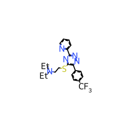 CCN(CC)CCSc1nc(-c2ccccn2)nnc1-c1ccc(C(F)(F)F)cc1